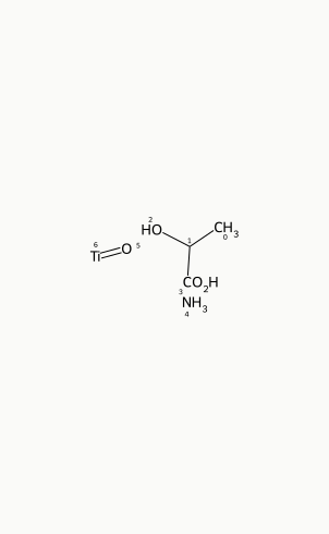 CC(O)C(=O)O.N.[O]=[Ti]